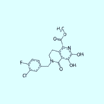 COC(=O)c1nc(O)c(O)c2c1CCN(Cc1ccc(F)c(Cl)c1)C2=O